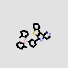 Cc1ccccc1B(c1cccc(-c2nc3ccncc3c3c2sc2ccccc23)c1)c1ccccc1C